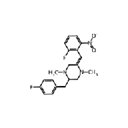 CN1CC(Cc2ccc(F)cc2)N(C)CC1=Cc1c(F)cccc1[N+](=O)[O-]